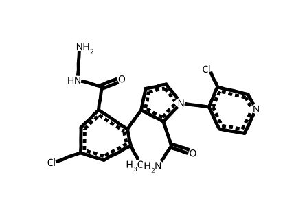 Cc1cc(Cl)cc(C(=O)NN)c1-c1ccn(-c2ccncc2Cl)c1C(N)=O